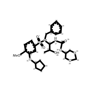 COc1ccc(S(=O)(=O)N(Cc2ccccc2)C(NC(=O)OC2COCOC2)C(C)O)cc1OC1CCCC1